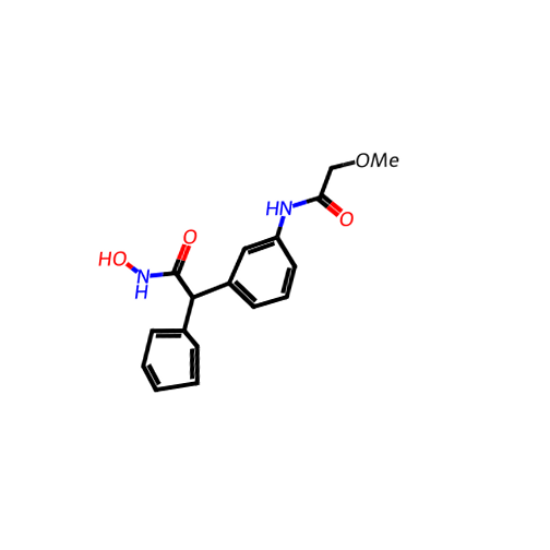 COCC(=O)Nc1cccc(C(C(=O)NO)c2ccccc2)c1